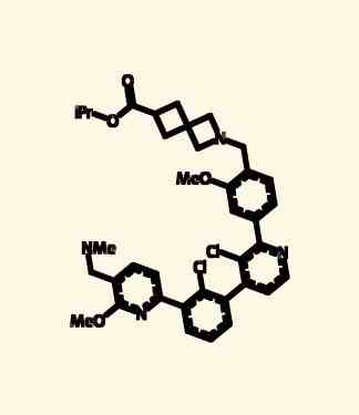 CNCc1ccc(-c2cccc(-c3ccnc(-c4ccc(CN5CC6(CC(C(=O)OC(C)C)C6)C5)c(OC)c4)c3Cl)c2Cl)nc1OC